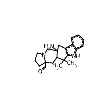 CC1(C)c2[nH]c3ccccc3c2CC2(N)CN3CCCC3(C=O)CC21